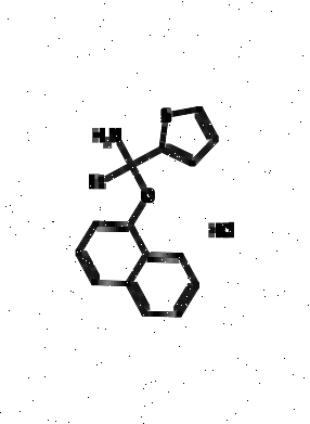 CCC(N)(Oc1cccc2ccccc12)c1cccs1.Cl